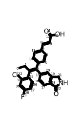 CCC(=C(c1ccc(C=CC(=O)O)cc1)c1ccc2c(c1)CNC2=O)c1ccc(F)cc1Cl